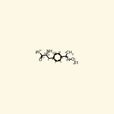 CCO/N=C(\C)c1ccc(C[C@H](N)C(=O)C(C)C)cc1